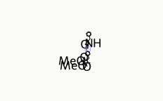 COC1=C(OC)C(=O)C(Cc2ccc(/C=C/C(=O)NCCc3ccccc3)cc2)=C(C)C1=O